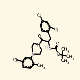 Cc1ccc(Cl)cc1N1CCN(C(=O)C(Cc2ccc(Cl)cc2Cl)NC(=O)OC(C)(C)C)CC1